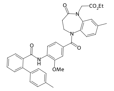 CCOC(=O)CN1C(=O)CCN(C(=O)c2ccc(NC(=O)c3ccccc3-c3ccc(C)cc3)c(OC)c2)c2ccc(C)cc21